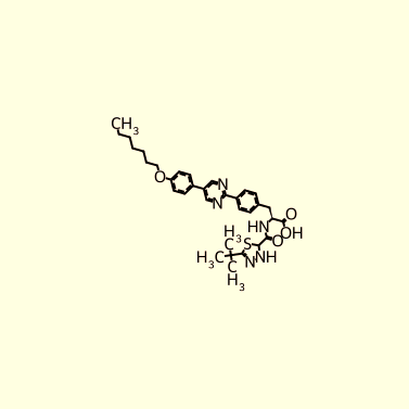 CCCCCCCOc1ccc(-c2cnc(-c3ccc(C[C@H](NC(=O)C4NN=C(C(C)(C)C)S4)C(=O)O)cc3)nc2)cc1